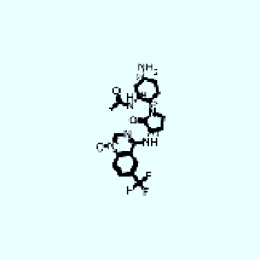 CC(=O)N[C@@H]1C[C@H](N)CC[C@@H]1N1CC[C@H](Nc2nc[n+]([O-])c3ccc(C(F)(F)F)cc23)C1=O